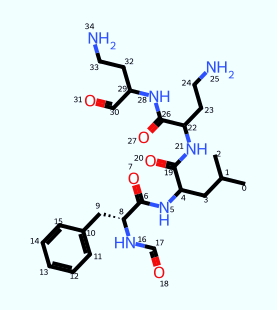 CC(C)CC(NC(=O)[C@@H](Cc1ccccc1)NC=O)C(=O)NC(CCN)C(=O)NC(C=O)CCN